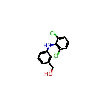 OCc1cccc(Nc2c(Cl)cccc2Cl)c1